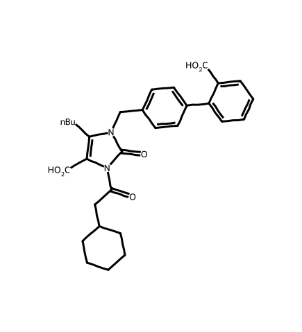 CCCCc1c(C(=O)O)n(C(=O)CC2CCCCC2)c(=O)n1Cc1ccc(-c2ccccc2C(=O)O)cc1